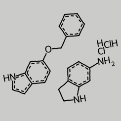 Cl.Cl.Nc1ccc2c(c1)NCC2.c1ccc(COc2ccc3cc[nH]c3c2)cc1